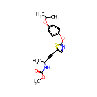 COC(=O)NC(C)C#Cc1cnc(Oc2ccc(OC(C)C)cc2)s1